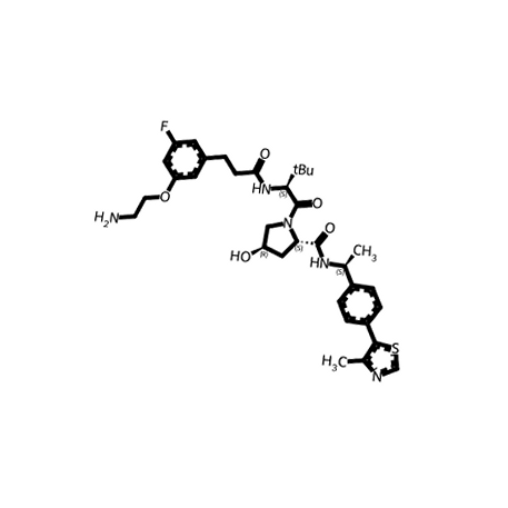 Cc1ncsc1-c1ccc([C@H](C)NC(=O)[C@@H]2C[C@@H](O)CN2C(=O)[C@@H](NC(=O)CCc2cc(F)cc(OCCN)c2)C(C)(C)C)cc1